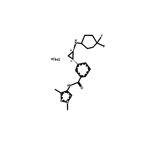 Cc1nn(C)cc1NC(=O)c1cccc([C@@H]2C[C@H]2NC2CCC(F)(F)CC2)c1.Cl.Cl